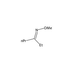 CCCC(CC)=NOC